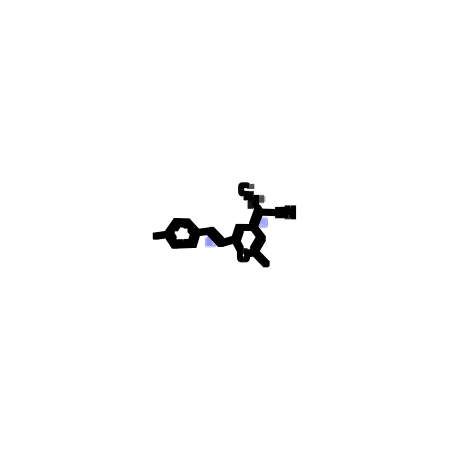 [C-]#[N+]/C(C#N)=C1/C=C(C)OC(/C=C/c2ccc(C)cc2)=C1